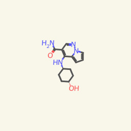 NC(=O)c1cnn2cccc2c1N[C@H]1CC[C@H](O)CC1